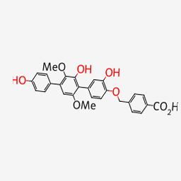 COc1cc(-c2ccc(O)cc2)c(OC)c(O)c1-c1ccc(OCc2ccc(C(=O)O)cc2)c(O)c1